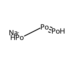 [Na].[PoH][Po]#[PoH]